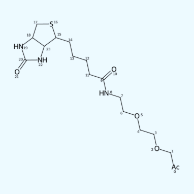 CC(=O)COCCOCCNC(=O)CCCCC1SCC2NC(=O)NC21